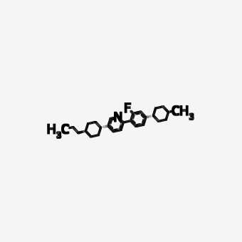 CCC[C@H]1CC[C@H](c2ccc(-c3ccc([C@H]4CC[C@H](C)CC4)cc3F)nc2)CC1